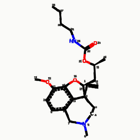 C=C[C@@]12CCN(C)Cc3ccc(OC)c(c31)O[C@H]2C[C@H](C)OC(=O)NCCCC